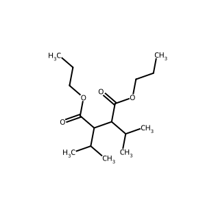 CCCOC(=O)C(C(C)C)C(C(=O)OCCC)C(C)C